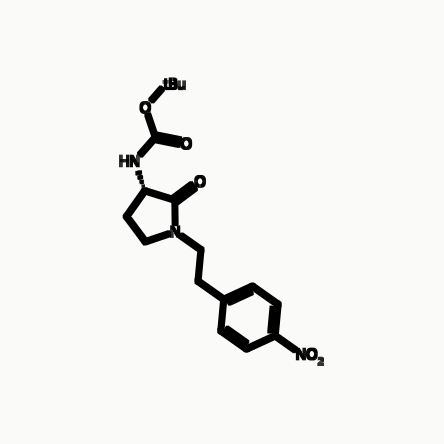 CC(C)(C)OC(=O)N[C@H]1CCN(CCc2ccc([N+](=O)[O-])cc2)C1=O